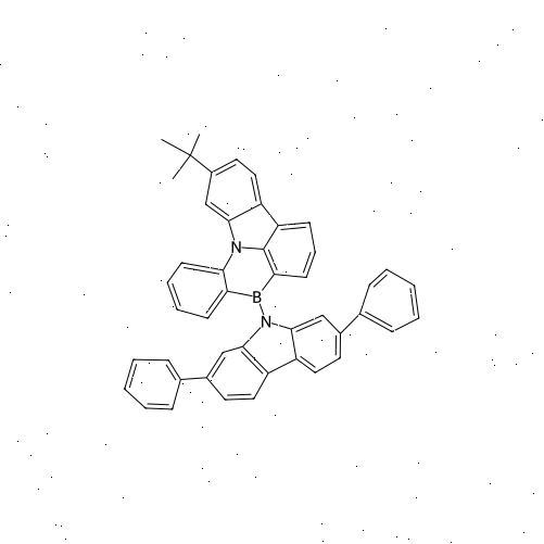 CC(C)(C)c1ccc2c3cccc4c3n(c2c1)-c1ccccc1B4n1c2cc(-c3ccccc3)ccc2c2ccc(-c3ccccc3)cc21